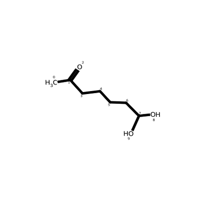 CC(=O)CCCCC(O)O